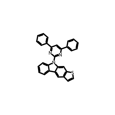 c1ccc(-c2cc(-c3ccccc3)nc(-n3c4ccccc4c4cc5ccsc5cc43)n2)cc1